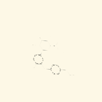 CCOc1ccc(Cc2cc([C@@H]3O[C@H]([S+](C)[O-])[C@@H](O)[C@H](O)[C@H]3O)ccc2Cl)cc1